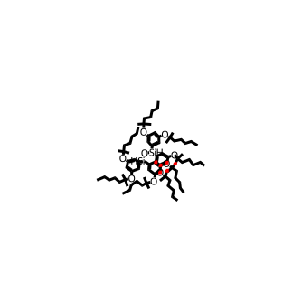 CCCCCC(C)(C)Oc1cc(OC(C)(C)CCCCC)cc([SiH](O[SiH](c2cc(OC(C)(C)CCCCC)cc(OC(C)(C)CCCCC)c2)c2cc(OC(C)(C)CCCCC)cc(OC(C)(C)CCCCC)c2)c2cc(OC(C)(C)CCCCC)cc(OC(C)(C)CCCCC)c2)c1